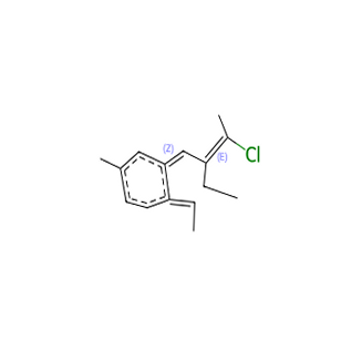 CC=c1ccc(C)c/c1=C/C(CC)=C(\C)Cl